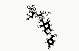 CN(C)C/C(=N/S(C)(=O)=O)NC[C@H](NC(=O)c1c(Cl)cc2c(c1Cl)CCN(C(=O)c1ccc(Cl)cc1)C2)C(=O)O